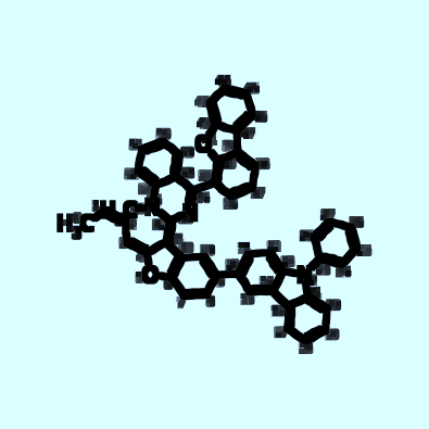 C\C=C/C=c1/oc2ccc(-c3ccc4c(c3)c3ccccc3n4-c3ccccc3)cc2/c1=C1\N=C(c2cccc3c2oc2ccccc23)c2ccccc2N1C